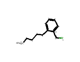 CCCCCCCCCCCc1ccccc1CBr